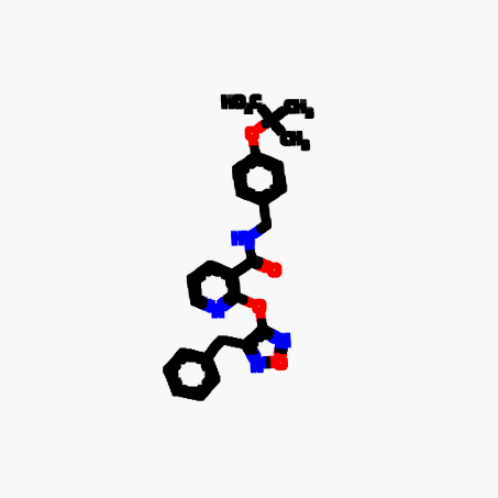 CC(C)(Oc1ccc(CNC(=O)c2cccnc2Oc2nonc2Cc2ccccc2)cc1)C(=O)O